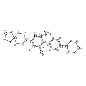 Cn1c(N2CCC3(CCOC3)CC2)nc(N)c(-c2ccc(N3CCOCC3)cc2)c1=O